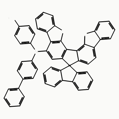 CC(C)(C)c1ccc(N(c2ccc(-c3ccccc3)cc2)c2cc3c(c4sc5ccccc5c24)-c2c(ccc4c2oc2ccccc24)C32c3ccccc3-c3ccccc32)cc1